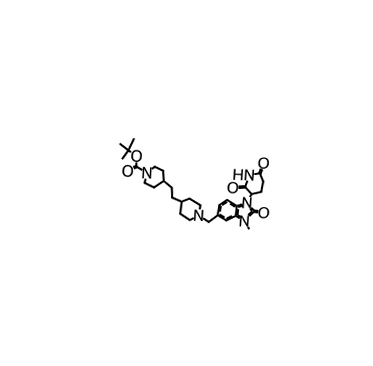 Cn1c(=O)n(C2CCC(=O)NC2=O)c2ccc(CN3CCC(CCC4CCN(C(=O)OC(C)(C)C)CC4)CC3)cc21